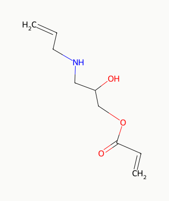 C=CCNCC(O)COC(=O)C=C